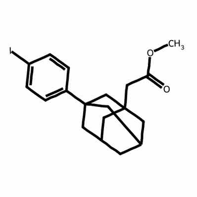 COC(=O)CC12CC3CC(C1)CC(c1ccc(I)cc1)(C3)C2